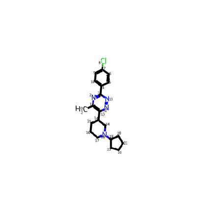 Cc1nc(-c2ccc(Cl)cc2)nnc1C1CCCN(C2CCCC2)C1